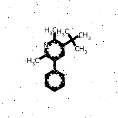 Cc1nc(C)c(C(C)(C)C)cc1-c1ccccc1